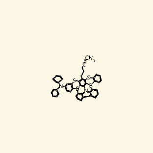 CCCCCCc1c2c3c4c5c1Sc1cc(N(c6ccccc6)c6ccccc6)ccc1B5c1cccc5c6cccc(c6n-4c15)B3c1ccccc1S2